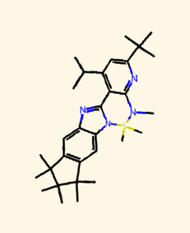 CC(C)c1cc(C(C)(C)C)nc2c1-c1nc3cc4c(cc3n1S(C)(C)N2C)C(C)(C)C(C)(C)C4(C)C